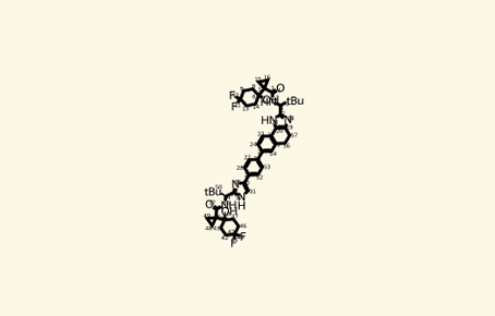 CC(C)(C)C(NC(=O)C1(C2(O)CCC(F)(F)CC2)CC1)c1nc2c([nH]1)-c1ccc(-c3ccc(-c4c[nH]c([C@@H](NC(=O)C5(C6(O)CCC(F)(F)CC6)CC5)C(C)(C)C)n4)cc3)cc1CC2